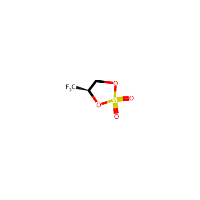 O=S1(=O)OC[C@H](C(F)(F)F)O1